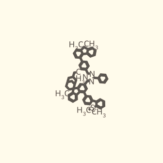 CCC1CC2CC(C)C3(c4ccccc4-c4c(-c5ccc6c(c5)-c5ccccc5S6(C)C)cc(-c5nc(-c6ccccc6)nc(-c6ccc(-c7cccc8c7-c7ccccc7C8(C)C)cc6)n5)cc43)C(C1)C2